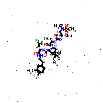 Cc1ccc(CCNC(=O)[C@H](CC(F)F)NC(=O)[C@@H]2[C@@H]3[C@H](CN2C(=O)[C@@H](NC(=O)N[C@H](CN(C)S(C)(=O)=O)C(C)(C)C)C(C)(C)C)C3(C)C)cc1C